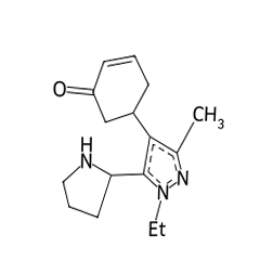 CCn1nc(C)c(C2CC=CC(=O)C2)c1C1CCCN1